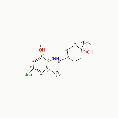 CC1(O)CCC(CNc2c(O)cc(Br)cc2[N+](=O)[O-])CC1